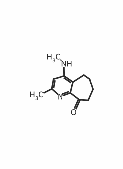 CNc1cc(C)nc2c1CCCCC2=O